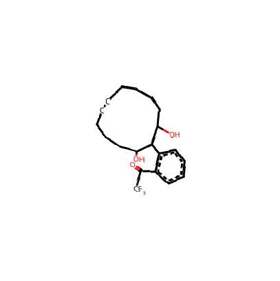 O=C(c1ccccc1C1C(O)CCCCCCCCCC1O)C(F)(F)F